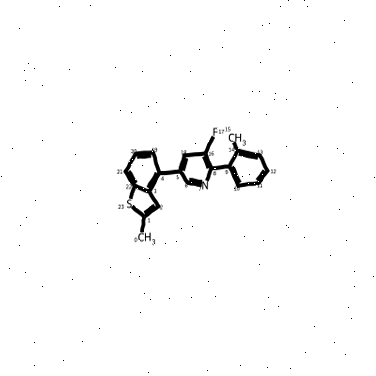 Cc1cc2c(-c3cnc(-c4ccccc4C)c(F)c3)cccc2s1